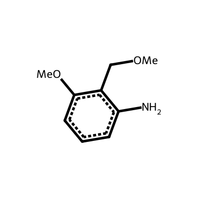 COCc1c(N)cccc1OC